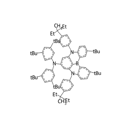 CCC(C)(CC)c1ccc(N2c3ccc(C(C)(C)C)cc3B3c4cc(C(C)(C)C)ccc4N(c4ccc(C(C)(CC)CC)cc4)c4cc(N(c5cc(C(C)(C)C)cc(C(C)(C)C)c5)c5cc(C(C)(C)C)cc(C(C)(C)C)c5)cc2c43)cc1